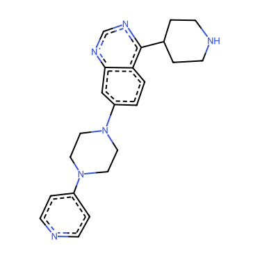 c1cc(N2CCN(c3ccc4c(C5CCNCC5)ncnc4c3)CC2)ccn1